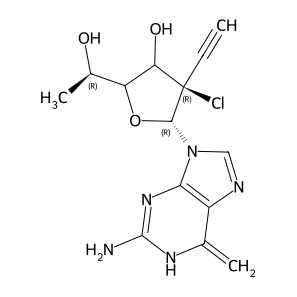 C#C[C@@]1(Cl)C(O)C([C@@H](C)O)O[C@H]1n1cnc2c1N=C(N)NC2=C